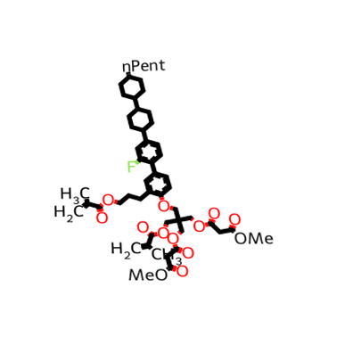 C=C(C)C(=O)OCCCc1cc(-c2ccc(C3CCC(C4CCC(CCCCC)CC4)CC3)cc2F)ccc1OCC(COC(=O)CC(=O)OC)(COC(=O)CC(=O)OC)COC(=O)C(=C)C